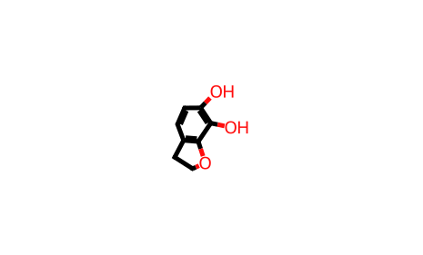 Oc1ccc2c(c1O)OCC2